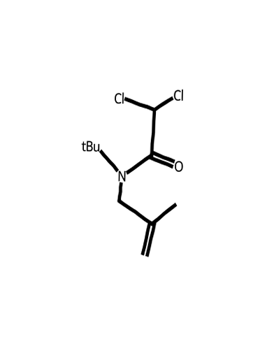 C=C(C)CN(C(=O)C(Cl)Cl)C(C)(C)C